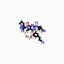 Cc1cc(/C=C/C#N)cc(C)c1Oc1nc(NC23CC(C#N)(C2)C3)nc2c1C(C)N(c1cnn3c1CCC3)C2=O